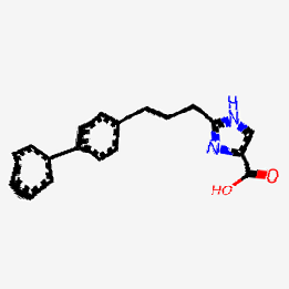 O=C(O)c1c[nH]c(CCCc2ccc(-c3ccccc3)cc2)n1